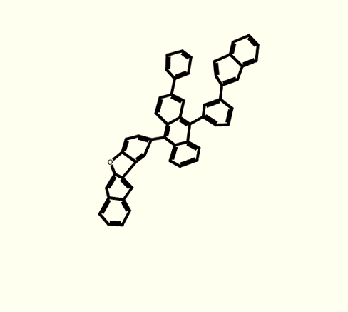 c1ccc(-c2ccc3c(-c4ccc5oc6cc7ccccc7cc6c5c4)c4ccccc4c(-c4cccc(-c5ccc6ccccc6c5)c4)c3c2)cc1